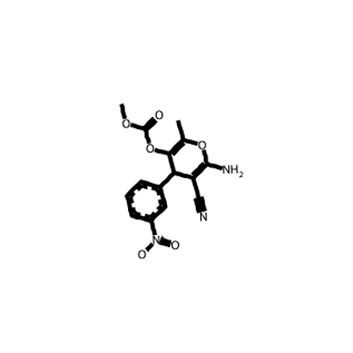 COC(=O)OC1=C(C)OC(N)=C(C#N)C1c1cccc([N+](=O)[O-])c1